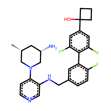 C[C@@H]1C[C@H](N)CN(c2ccncc2NCc2ccc(F)c(-c3c(F)cc(C4(O)CCC4)cc3F)c2)C1